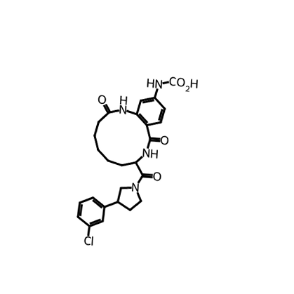 O=C(O)Nc1ccc2c(c1)NC(=O)CCCCCC(C(=O)N1CCC(c3cccc(Cl)c3)C1)NC2=O